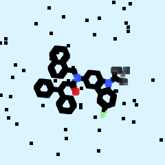 CCC(C(=O)O)n1c2c(c3cc(F)ccc31)CC(N(Cc1cccc3ccccc13)C(=O)CC(c1ccccc1)c1ccccc1)CC2